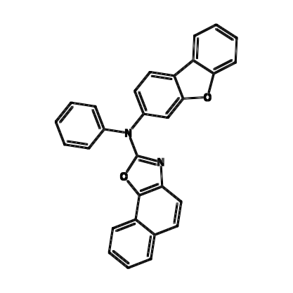 c1ccc(N(c2ccc3c(c2)oc2ccccc23)c2nc3ccc4ccccc4c3o2)cc1